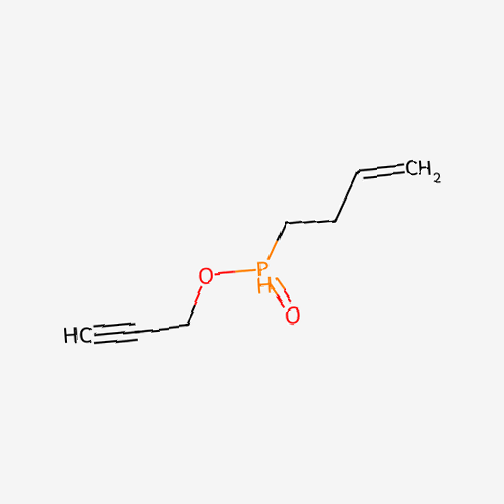 C#CCO[PH](=O)CCC=C